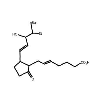 CCCCC(CC)C(O)/C=C/C1CCC(=O)C1C/C=C/CCCC(=O)O